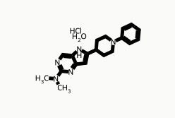 CN(C)c1ncc2[nH]c(C3CCN(c4ccccc4)CC3)cc2n1.Cl.O